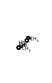 Cc1c(C(=O)Nc2ccc3c(ccn3C)c2)oc2ccccc12